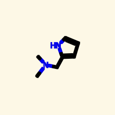 CN(C)Cc1ccc[nH]1